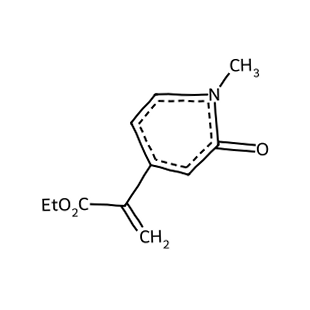 C=C(C(=O)OCC)c1ccn(C)c(=O)c1